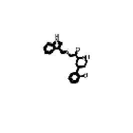 O=C(CSCc1c[nH]c2ccccc12)C1CC(c2ccccc2Cl)=CCN1